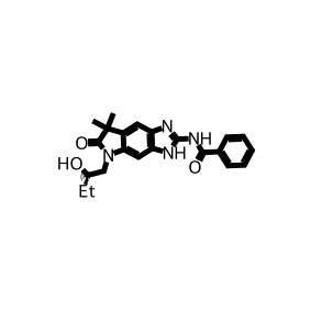 CC[C@@H](O)CN1C(=O)C(C)(C)c2cc3nc(NC(=O)c4ccccc4)[nH]c3cc21